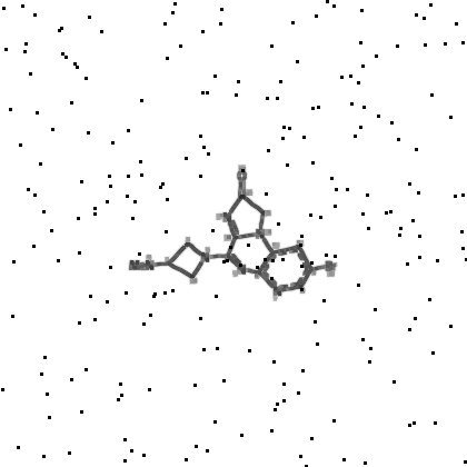 CNC1CN(C2=Nc3ncc(Br)cc3N3CC(=O)N=C23)C1